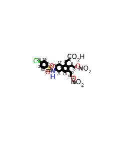 O=C(O)CCc1c(CCO[N+](=O)[O-])c(CCO[N+](=O)[O-])cc2c1CCC(NS(=O)(=O)c1ccc(Cl)cc1)C2